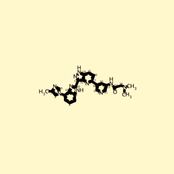 Cc1cn(-c2cccc3[nH]c(-c4n[nH]c5ccc(-c6cncc(NC(=O)CN(C)C)c6)nc45)nc23)cn1